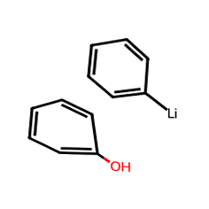 Oc1ccccc1.[Li][c]1ccccc1